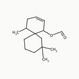 CC1CC=CC(OC=O)C12CCCC(C)(C)C2